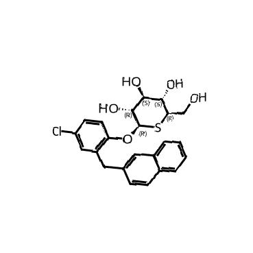 OC[C@H]1S[C@@H](Oc2ccc(Cl)cc2Cc2ccc3ccccc3c2)[C@H](O)[C@@H](O)[C@@H]1O